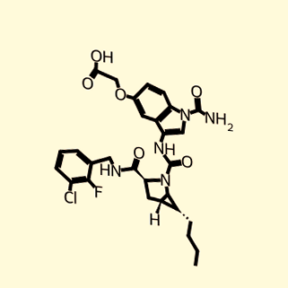 CCCC[C@H]1C2[C@H]1C[C@@H](C(=O)NCc1cccc(Cl)c1F)N2C(=O)Nc1cn(C(N)=O)c2ccc(OCC(=O)O)cc12